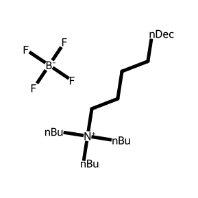 CCCCCCCCCCCCCC[N+](CCCC)(CCCC)CCCC.F[B-](F)(F)F